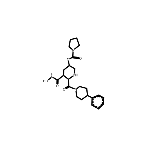 O=C(NO)C1CC(OC(=O)N2CCCC2)CNC1C(=O)N1CCC(c2ccccc2)CC1